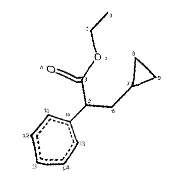 CCOC(=O)C(CC1CC1)c1ccccc1